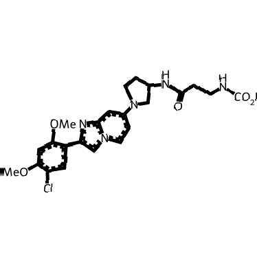 COc1cc(OC)c(-c2cn3ccc(N4CCC(NC(=O)CCNC(=O)O)C4)cc3n2)cc1Cl